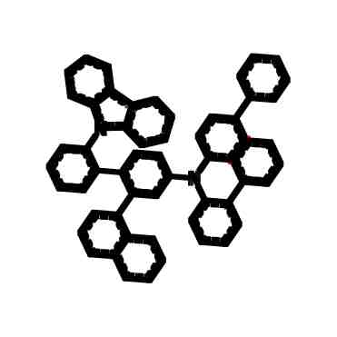 c1ccc(-c2ccc(N(c3ccc(-c4ccccc4-n4c5ccccc5c5ccccc54)c(-c4cccc5ccccc45)c3)c3ccccc3-c3ccccc3)cc2)cc1